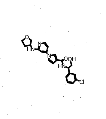 O=C(NC(CO)c1cccc(Cl)c1)c1ccn(-c2ccnc(NC3CCOC3)c2)c1